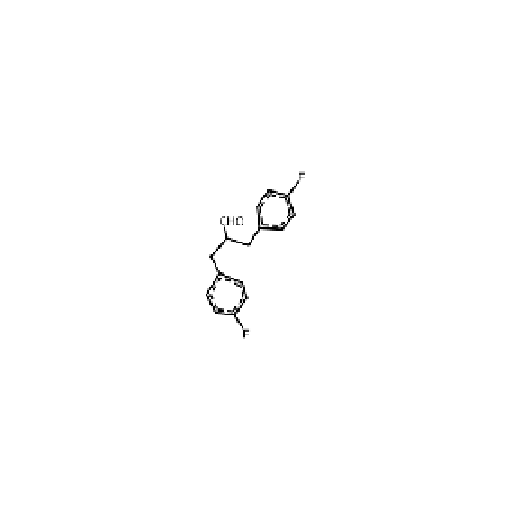 O=CC(Cc1ccc(F)cc1)Cc1ccc(F)cc1